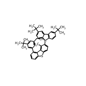 CCc1cc(-c2cccc3sc4ccc(-n5c6ccc(C(C)(C)C)cc6c6cc(C(C)(C)C)ccc65)c(C)c4c23)cc(C(C)(C)C)c1